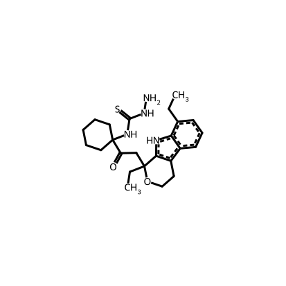 CCc1cccc2c3c([nH]c12)C(CC)(CC(=O)C1(NC(=S)NN)CCCCC1)OCC3